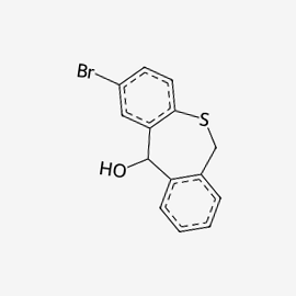 OC1c2ccccc2CSc2ccc(Br)cc21